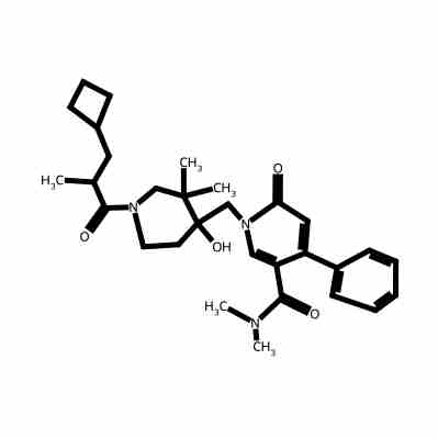 CC(CC1CCC1)C(=O)N1CCC(O)(Cn2cc(C(=O)N(C)C)c(-c3ccccc3)cc2=O)C(C)(C)C1